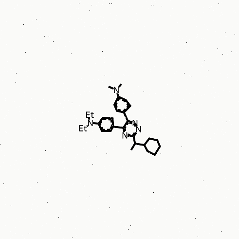 CCN(CC)c1ccc(-c2nc(C(C)C3CCCCC3)nnc2-c2ccc(N(C)C)cc2)cc1